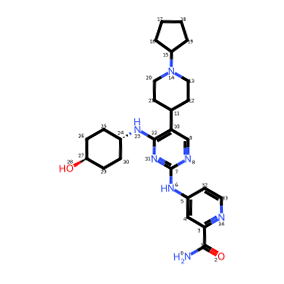 NC(=O)c1cc(Nc2ncc(C3CCN(C4CCCC4)CC3)c(N[C@H]3CC[C@H](O)CC3)n2)ccn1